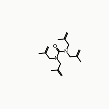 C=C(C)CN(CC(=C)C)C(=O)N(CC(=C)C)CC(=C)C